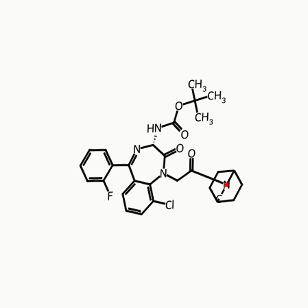 CC(C)(C)OC(=O)N[C@H]1N=C(c2ccccc2F)c2cccc(Cl)c2N(CC(=O)N2CC3CCC(CC3)C2)C1=O